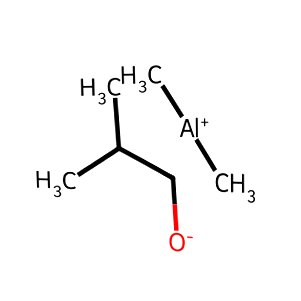 CC(C)C[O-].[CH3][Al+][CH3]